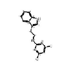 Clc1cc(Cl)nc(NCCc2c[nH]c3ccccc23)n1